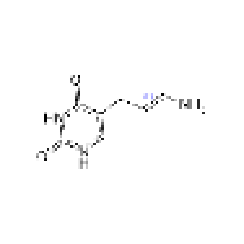 N/C=C/Cc1c[nH]c(=O)[nH]c1=O